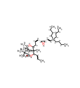 C/C=C/C(O[Si](C)(C)C(C)(C)C)C(C)(C)C(C/C=C\[C@H]1O[C@H]1/C=[CH]/[Sn]([CH2]CCC)([CH2]CCC)[CH2]CCC)O[Si](C)(C)C